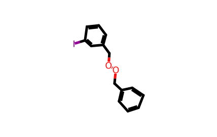 Ic1cccc(COOCc2ccccc2)c1